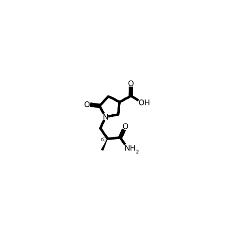 C[C@@H](CN1CC(C(=O)O)CC1=O)C(N)=O